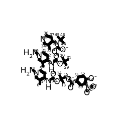 Cc1c[n+](N)ccc1NC(=O)OC(C)(C)C.Cc1c[n+](N)ccc1NC(=O)OC(C)(C)C.Cc1cnccc1N(C(=O)[O-])C(C)(C)C.O=[N+]([O-])c1ccc([O-])c([N+](=O)[O-])c1